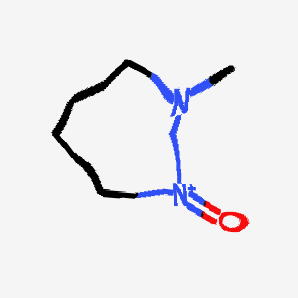 CN1CCC[N+]1=O